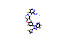 Nc1cc(CN2CCC(Oc3ccc(-n4c(-c5nccs5)nc5cccnc54)cc3)CC2)ccn1